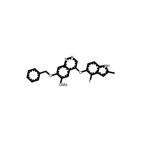 COc1cc2c(Oc3ccc4[nH]c(C)cc4c3F)cnnc2cc1OCc1ccccc1